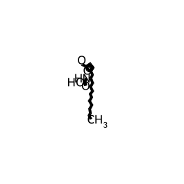 CCCCCCCCCCCC(Cc1ccc(C=O)o1)NC(=O)O